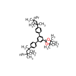 CCCC(C)(C)CC(C)(C)c1ccc(-c2cc(B3OC(C)(C)C(C)(C)O3)cc(-c3ccc(C(C)(C)CC(C)(C)CCC)cc3)c2)cc1